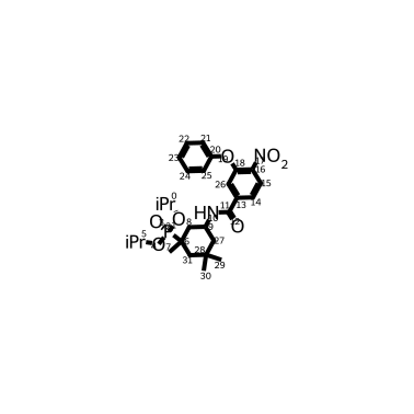 CC(C)OP(=O)(OC(C)C)C1(C)CC(NC(=O)c2ccc([N+](=O)[O-])c(Oc3ccccc3)c2)CC(C)(C)C1